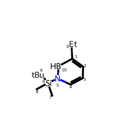 CCC1=CC=CN([Si](C)(C)C(C)(C)C)B1